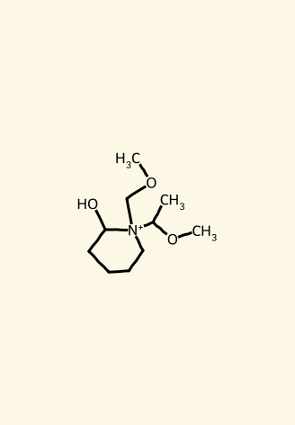 COC[N+]1(C(C)OC)CCCCC1O